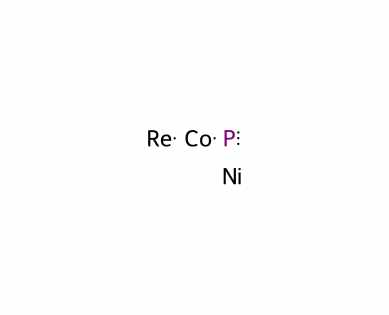 [Co].[Ni].[P].[Re]